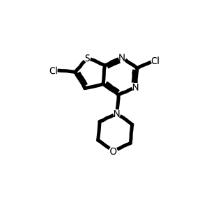 Clc1nc(N2CCOCC2)c2cc(Cl)sc2n1